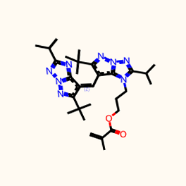 C=C(C)C(=O)OCCCn1c(C(C)C)nn2nc(C(C)(C)C)c(/C=c3/c(C(C)(C)C)nn4nc(C(C)C)nc34)c12